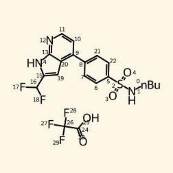 CCCCNS(=O)(=O)c1ccc(-c2ccnc3[nH]c(C(F)F)cc23)cc1.O=C(O)C(F)(F)F